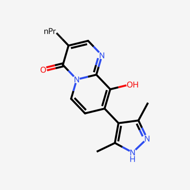 CCCc1cnc2c(O)c(-c3c(C)n[nH]c3C)ccn2c1=O